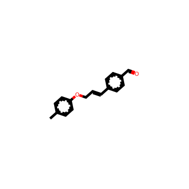 Cc1ccc(OCC=Cc2ccc(C=O)cc2)cc1